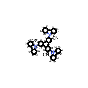 N#Cc1cc2c(cc1-n1c3ccccc3c3ccccc31)c1cc(C#N)c(-n3c4ccccc4c4ccccc43)cc1c1cc(C#N)c(-n3c4ccccc4c4ccccc43)cc21